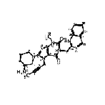 CC#CCn1c(N2CCC[C@H](N)C2)nc2c1c(=O)n(Cc1ncc3ccccc3n1)c(=O)n2C